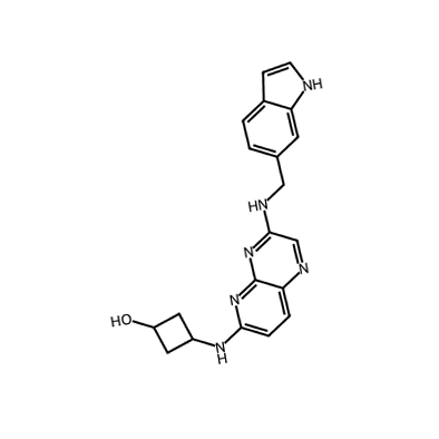 OC1CC(Nc2ccc3ncc(NCc4ccc5cc[nH]c5c4)nc3n2)C1